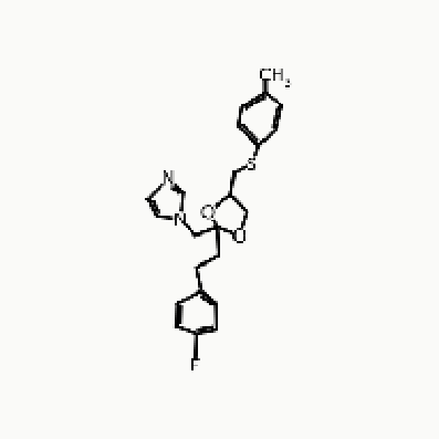 Cc1ccc(SCC2COC(CCc3ccc(F)cc3)(Cn3ccnc3)O2)cc1